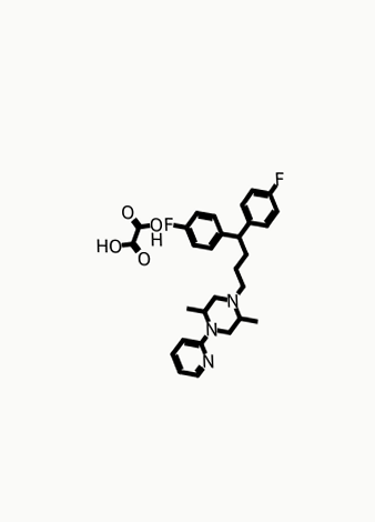 CC1CN(c2ccccn2)C(C)CN1CCCC(c1ccc(F)cc1)c1ccc(F)cc1.O=C(O)C(=O)O